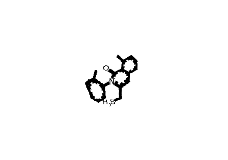 BCc1cc2cccc(C)c2c(=O)n1-c1ccccc1C